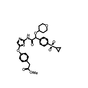 COC(=O)Cc1ccc(Oc2cnc(NC(=O)C(OC3CCOCC3)c3ccc(S(=O)(=O)C4CC4)cc3)s2)cc1